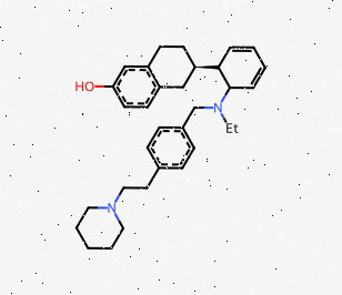 CCN(Cc1ccc(CCN2CCCCC2)cc1)C1C=CC=CC1[C@@H]1CCc2cc(O)ccc2C1